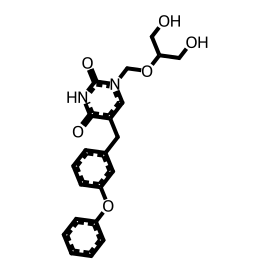 O=c1[nH]c(=O)n(COC(CO)CO)cc1Cc1cccc(Oc2ccccc2)c1